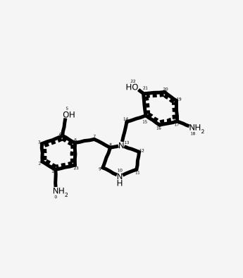 Nc1ccc(O)c(CC2CNCCN2Cc2cc(N)ccc2O)c1